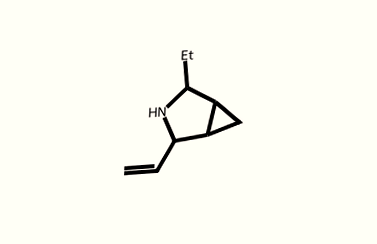 C=CC1NC(CC)C2CC12